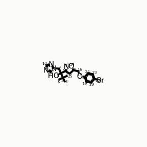 CC(C)(C)C(O)(Cn1cncn1)C1=NOC(COc2ccc(Br)cc2)C1